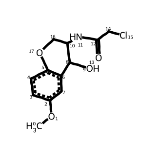 COc1ccc2c(c1)C(O)C(NC(=O)CCl)CO2